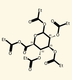 CCC(=O)OC(=O)[C@H]1OC(OC(=O)CC)[C@H](OC(=O)CC)[C@@H](OC(=O)CC)[C@@H]1OC(=O)CC